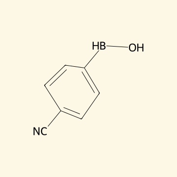 N#Cc1ccc(BO)cc1